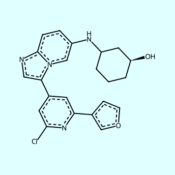 O[C@H]1CCCC(Nc2ccc3ncc(-c4cc(Cl)nc(-c5ccoc5)c4)n3c2)C1